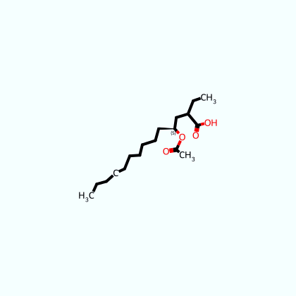 CCCCCCCCCC[C@@H](CC(CC)C(=O)O)OC(C)=O